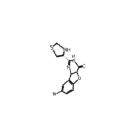 O=C1NC([C@@H]2CSCN2)=NC2c3cc(Br)ccc3OC12